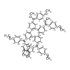 COc1ccc(N(OC)c2ccc3c(c2)-c2cc(N(OC)c4ccc(OC)cc4)ccc2-c2ccc(N(c4ccc(OC)cc4)c4ccc(OC)cc4)cc2-c2cc(N(c4ccc(OC)cc4)c4ccc(OC)cc4)ccc2-3)cc1